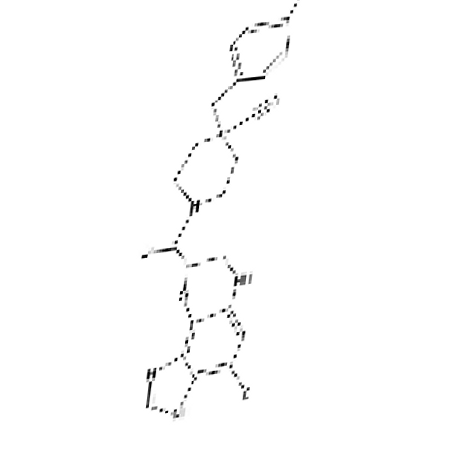 N#CC1(Cc2ccc(F)cc2)CCN(C(=O)C2CNc3cc(Cl)c4[nH]cnc4c3O2)CC1